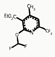 CCOC(=O)c1c(C)cc(C(F)(F)F)nc1OC(F)F